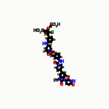 CC(C)n1c(=O)n(C2CCC(=O)NC2=O)c2ccc(C3CCN(C(=O)Nc4cccc(CS(=O)(=O)N5CC[C@H](Nc6cccc(-c7sc(C(=O)O)c(OCC(=O)O)c7Cl)c6)CC5(C)C)c4)CC3)cc21